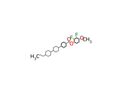 CCCC1CCC(C2CCC(c3ccc(C(=O)Oc4ccc(OC)c(F)c4F)cc3)CC2)CC1